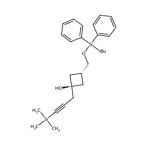 CC(C)(C)[Si](OC[C@H]1C[C@@](O)(CC#C[Si](C)(C)C)C1)(c1ccccc1)c1ccccc1